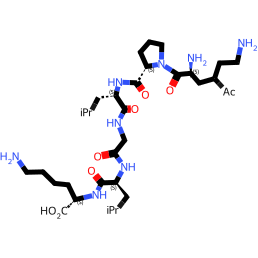 CC(=O)C(CCN)C[C@H](N)C(=O)N1CCC[C@H]1C(=O)N[C@@H](CC(C)C)C(=O)NCC(=O)N[C@@H](CC(C)C)C(=O)N[C@@H](CCCCN)C(=O)O